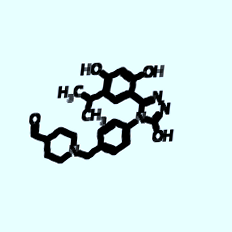 CC(C)c1cc(-c2nnc(O)n2-c2ccc(CN3CCC(C=O)CC3)cc2)c(O)cc1O